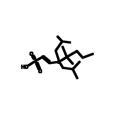 CCCC(C)(C)[Si](/C=[C]/S(=O)(=O)O)(CC(C)C)CC(C)C